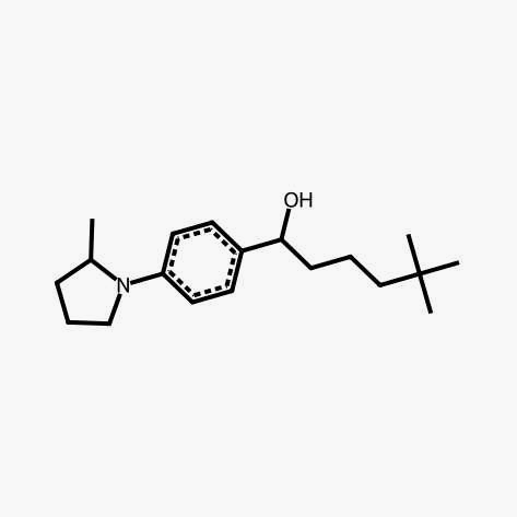 CC1CCCN1c1ccc(C(O)CCCC(C)(C)C)cc1